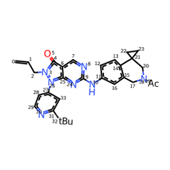 C=CCn1c(=O)c2cnc(Nc3ccc4c(c3)CN(C(C)=O)CC43CC3)nc2n1-c1ccnc(C(C)(C)C)c1